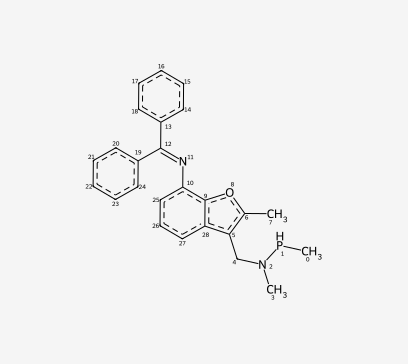 CPN(C)Cc1c(C)oc2c(N=C(c3ccccc3)c3ccccc3)cccc12